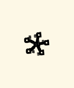 [Cl][Eu]([Cl])([Cl])([Cl])[Cl]